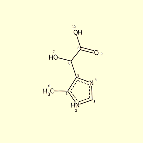 Cc1[nH]cnc1C(O)C(=O)O